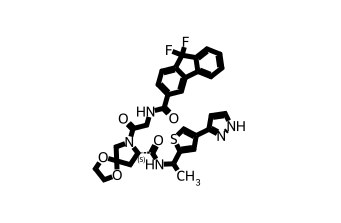 CC(NC(=O)[C@@H]1CC2(CN1C(=O)CNC(=O)c1ccc3c(c1)-c1ccccc1C3(F)F)OCCO2)c1cc(-c2cc[nH]n2)cs1